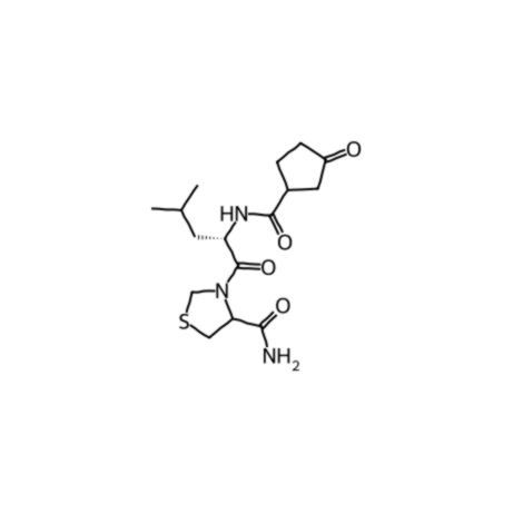 CC(C)C[C@H](NC(=O)C1CCC(=O)C1)C(=O)N1CSCC1C(N)=O